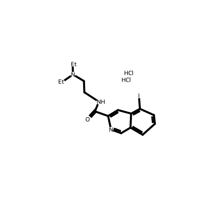 CCN(CC)CCNC(=O)c1cc2c(I)cccc2cn1.Cl.Cl